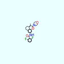 CC(C(=O)N1CCOCC1)=C1CCCc2cc(NC(=O)c3c(F)cccc3F)ccc21